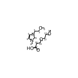 COCCN1C=CN(C)C1.COCCOCCC(=O)O